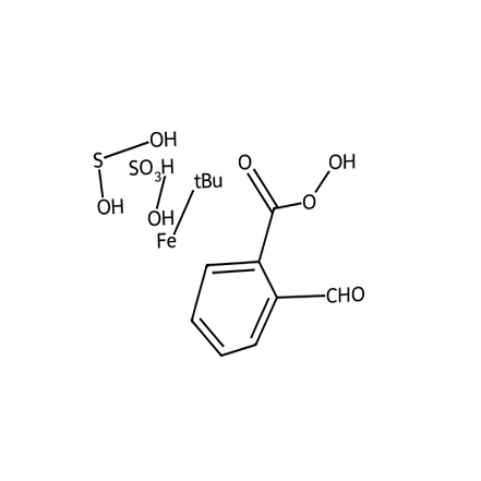 C[C](C)(C)[Fe].O=Cc1ccccc1C(=O)OO.O=S(=O)(O)O.OSO